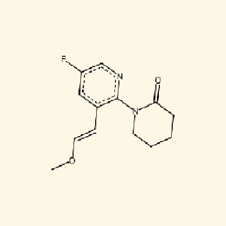 COC=Cc1cc(F)cnc1N1CCCCC1=O